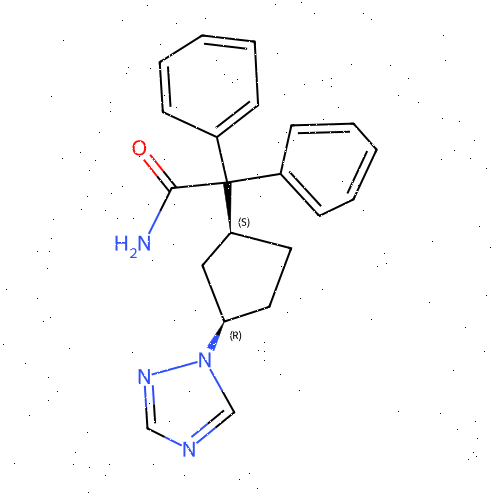 NC(=O)C(c1ccccc1)(c1ccccc1)[C@H]1CC[C@@H](n2cncn2)C1